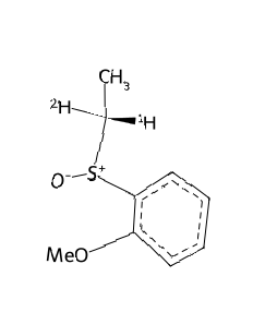 [1H][C@@]([2H])(C)[S+]([O-])c1ccccc1OC